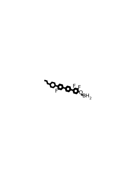 BCOc1ccc(-c2ccc(-c3ccc(C4CCC(CCC)CC4)c(F)c3)cc2)c(F)c1F